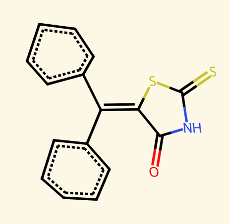 O=C1NC(=S)SC1=C(c1ccccc1)c1ccccc1